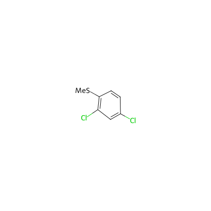 [CH]Sc1ccc(Cl)cc1Cl